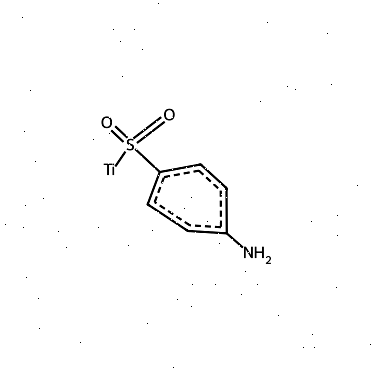 Nc1ccc([S](=O)(=O)[Ti])cc1